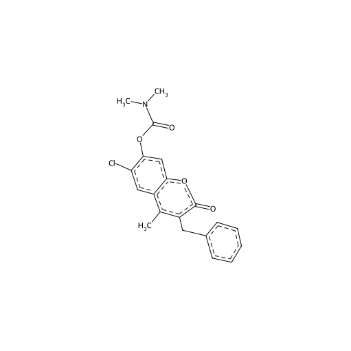 Cc1c(Cc2ccccc2)c(=O)oc2cc(OC(=O)N(C)C)c(Cl)cc12